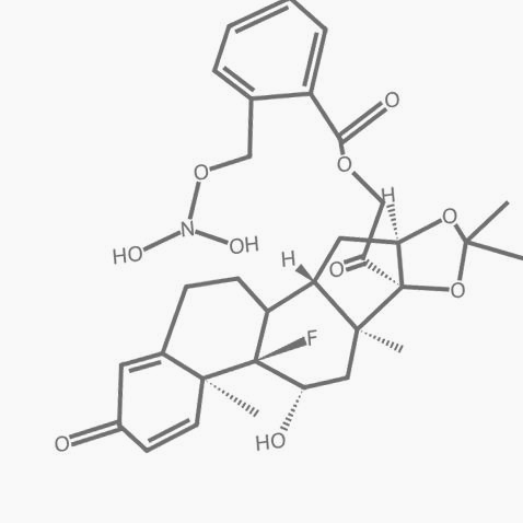 CC1(C)O[C@@H]2C[C@H]3C4CCC5=CC(=O)C=C[C@]5(C)[C@@]4(F)[C@@H](O)C[C@]3(C)[C@]2(C(=O)COC(=O)c2ccccc2CON(O)O)O1